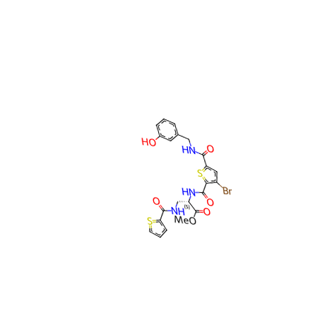 COC(=O)[C@H](CNC(=O)c1cccs1)NC(=O)c1sc(C(=O)NCc2cccc(O)c2)cc1Br